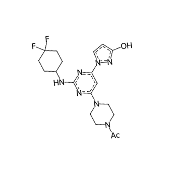 CC(=O)N1CCN(c2cc(-n3ccc(O)n3)nc(NC3CCC(F)(F)CC3)n2)CC1